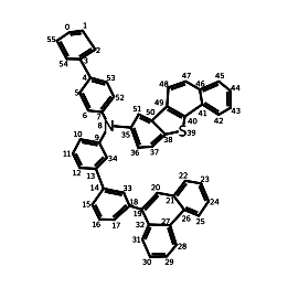 c1ccc(-c2ccc(N(c3cccc(-c4cccc(-c5cc6ccccc6c6ccccc56)c4)c3)c3ccc4sc5c6ccccc6ccc5c4c3)cc2)cc1